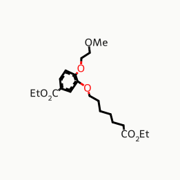 CCOC(=O)CCCCCCOc1cc(C(=O)OCC)ccc1OCCOC